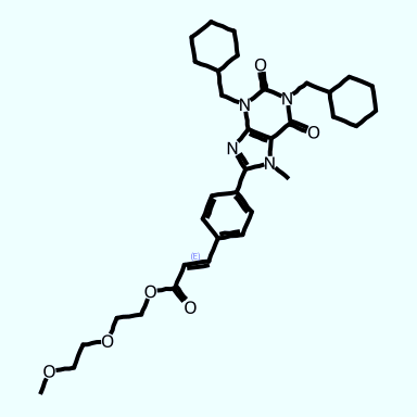 COCCOCCOC(=O)/C=C/c1ccc(-c2nc3c(c(=O)n(CC4CCCCC4)c(=O)n3CC3CCCCC3)n2C)cc1